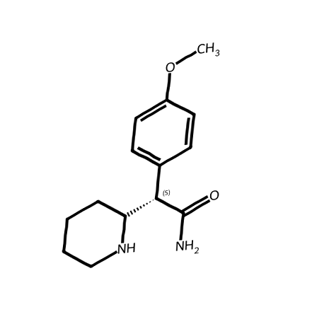 COc1ccc([C@H](C(N)=O)C2CCCCN2)cc1